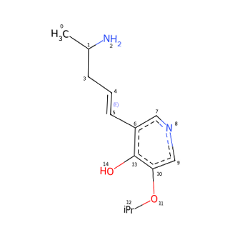 CC(N)C/C=C/c1cncc(OC(C)C)c1O